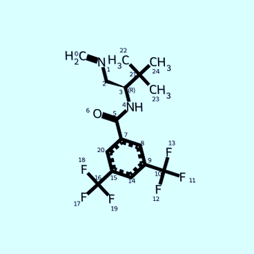 C=NC[C@H](NC(=O)c1cc(C(F)(F)F)cc(C(F)(F)F)c1)C(C)(C)C